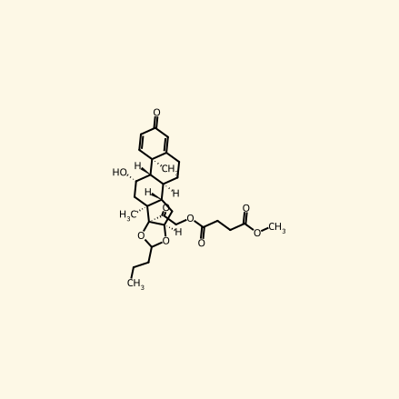 CCCC1O[C@@H]2C[C@H]3[C@@H]4CCC5=CC(=O)C=C[C@]5(C)[C@H]4[C@@H](O)C[C@]3(C)[C@]2(C(=O)COC(=O)CCC(=O)OC)O1